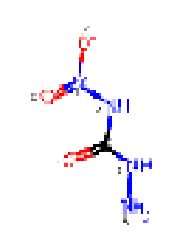 NNC(=O)N[N+](=O)[O-]